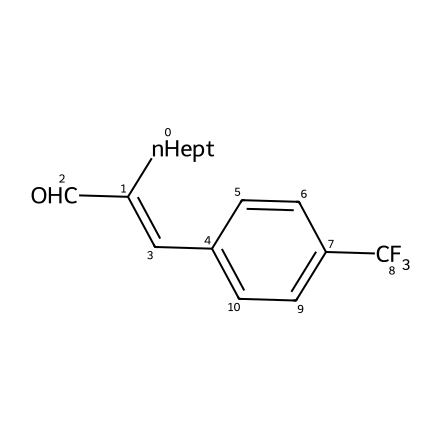 CCCCCCC/C(C=O)=C\c1ccc(C(F)(F)F)cc1